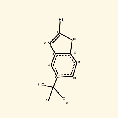 CCC1=Nc2cc(C(C)(F)F)ccc2C1